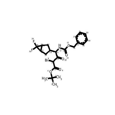 CC(C)(C)OC(=O)C(Br)C(=O)C(NC(=O)OCc1ccccc1)C1CC2C(C1)C2(F)F